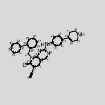 C#Cc1cc2cnc(Nc3ccc(C4=CCNCC4)cc3)nc2n(Cc2ccccc2-c2ccncc2)c1=O